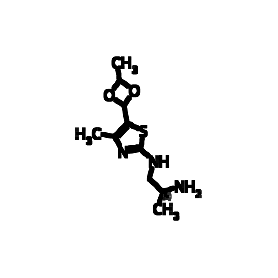 Cc1nc(NC[C@H](C)N)sc1C1OC(C)O1